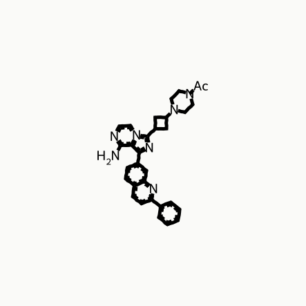 CC(=O)N1CCN(C2CC(c3nc(-c4ccc5ccc(-c6ccccc6)nc5c4)c4c(N)nccn34)C2)CC1